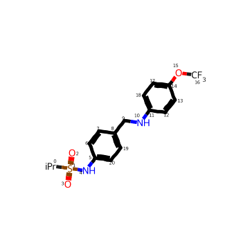 CC(C)S(=O)(=O)Nc1ccc(CNc2ccc(OC(F)(F)F)cc2)cc1